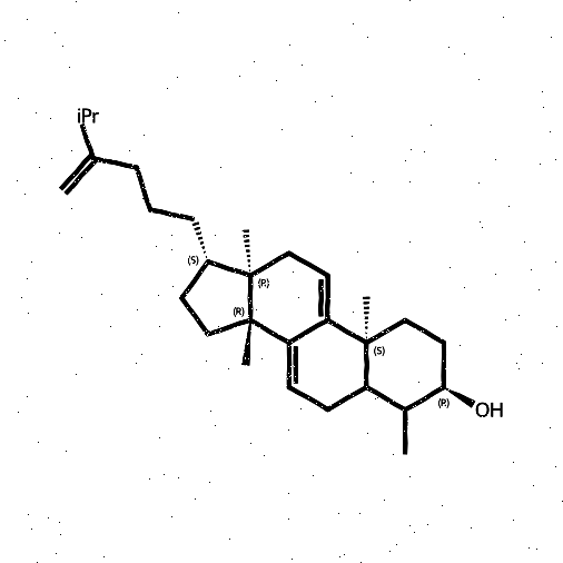 C=C(CCC[C@H]1CC[C@@]2(C)C3=CCC4C(C)[C@H](O)CC[C@]4(C)C3=CC[C@]12C)C(C)C